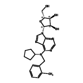 Cc1ccccc1CN(c1ncnc2c1ncn2[C@@H]1O[C@H](CO)[C@@H](O)[C@H]1O)C1CCCC1